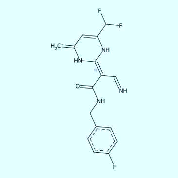 C=C1C=C(C(F)F)N/C(=C(\C=N)C(=O)NCc2ccc(F)cc2)N1